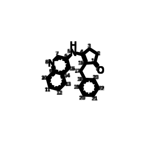 O=C1CCC(Nc2cnc3ccccc3c2)=C1Cc1ccccc1